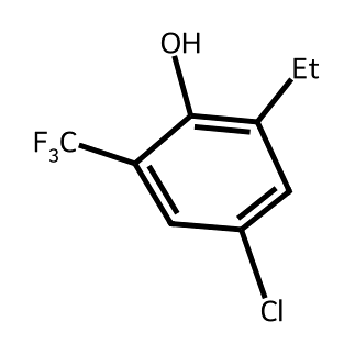 CCc1cc(Cl)cc(C(F)(F)F)c1O